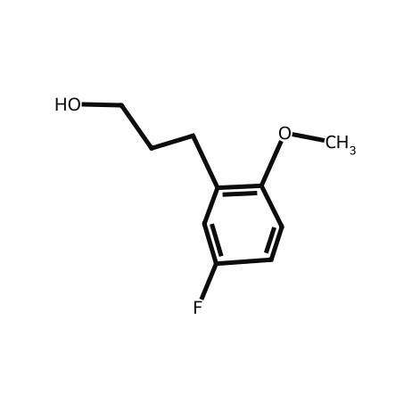 COc1ccc(F)cc1CCCO